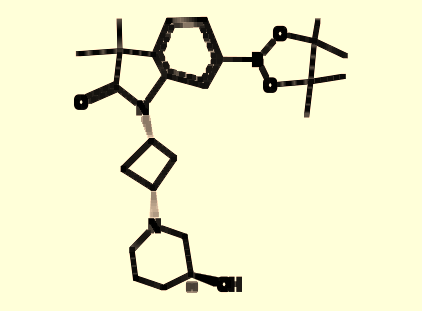 CC1(C)C(=O)N([C@H]2C[C@@H](N3CCC[C@H](O)C3)C2)c2cc(B3OC(C)(C)C(C)(C)O3)ccc21